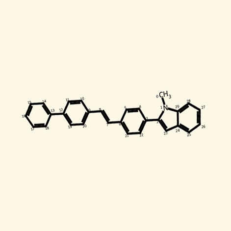 Cn1c(-c2ccc(C=Cc3ccc(-c4ccccc4)cc3)cc2)cc2ccccc21